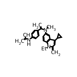 C=C(C)Nc1ccc(C(=C)N(C)c2ccc3c(c2)C(C2CC2)=CC(=C)N3CC)cc1